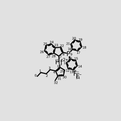 CCCCC1=[C]([Hf+2][CH]2C(P(c3ccccc3)c3ccccc3)=Cc3ccccc32)CC=C1C.[F-].[F-]